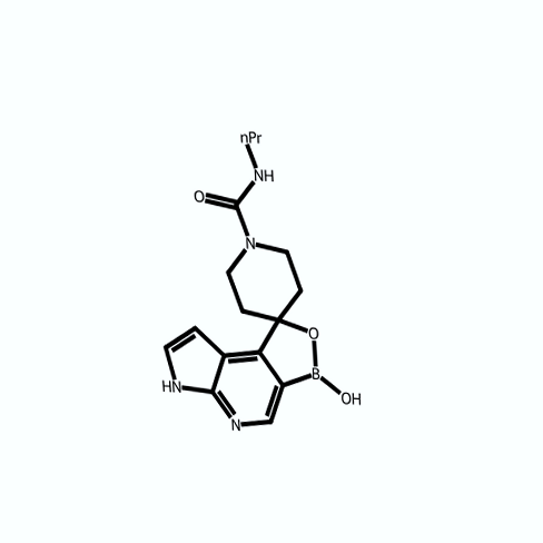 CCCNC(=O)N1CCC2(CC1)OB(O)c1cnc3[nH]ccc3c12